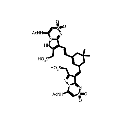 CC(=O)NC1=CS(=O)(=O)N=C2C(C=CC3=CC(C=c4c(CS(=O)(=O)O)nn5c4=NS(=O)(=O)C=C5NC(C)=O)CC(C)(C)C3)=C(CS(=O)(=O)O)NN12